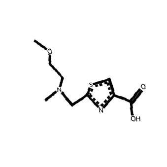 COCCN(C)Cc1nc(C(=O)O)cs1